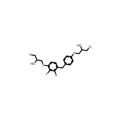 OC(CCl)COc1ccc(Cc2ccc(OCC(O)CF)c(F)c2F)cc1